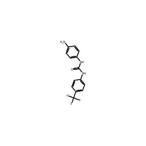 Nc1ccc(NC(=O)Nc2ccc(C(F)(F)F)cc2)cc1